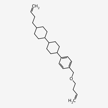 C=CCCOCc1ccc(C2CCC(C3CCC(CCC=C)CC3)CC2)cc1